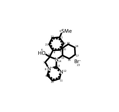 CSc1ccc(C2(O)C[n+]3cccnc3N2C2CCCCC2)cc1.[Br-]